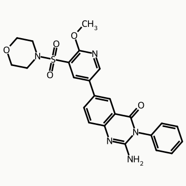 COc1ncc(-c2ccc3nc(N)n(-c4ccccc4)c(=O)c3c2)cc1S(=O)(=O)N1CCOCC1